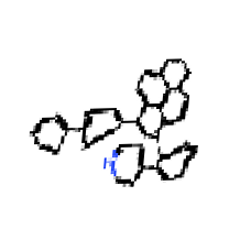 c1ccc(-c2ccc(-c3cc(-c4ccccc4-c4ccncc4)c4ccc5cccc6ccc3c4c65)cc2)cc1